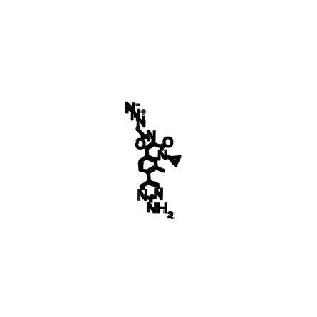 Cc1c(-c2cnc(N)nc2)ccc2c3oc(CN=[N+]=[N-])nc3c(=O)n(C3CC3)c12